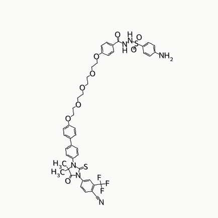 CC1(C)C(=O)N(c2ccc(C#N)c(C(F)(F)F)c2)C(=S)N1c1ccc(-c2ccc(OCCOCCOCCOCCOc3ccc(C(=O)NNS(=O)(=O)c4ccc(N)cc4)cc3)cc2)cc1